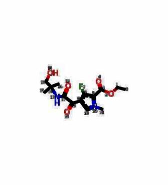 CCOC(=O)c1c(F)c(C(=O)C(=O)NC(C)(C)CO)cn1C